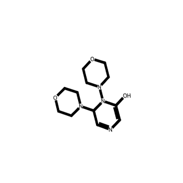 OC1=CN=CC(N2CCOCC2)N1N1CCOCC1